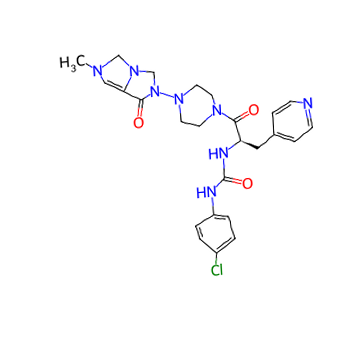 CN1C=C2C(=O)N(N3CCN(C(=O)[C@@H](Cc4ccncc4)NC(=O)Nc4ccc(Cl)cc4)CC3)CN2C1